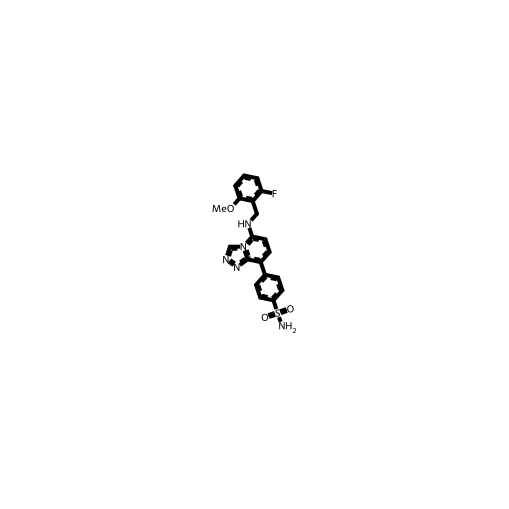 COc1cccc(F)c1CNc1ccc(-c2ccc(S(N)(=O)=O)cc2)c2nncn12